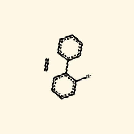 Brc1ccccc1-c1ccccc1.C=C